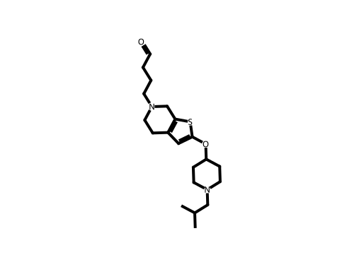 CC(C)CN1CCC(Oc2cc3c(s2)CN(CCCC=O)CC3)CC1